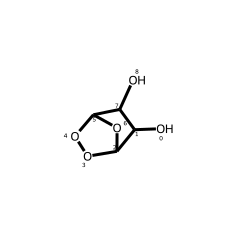 OC1C2OOC(O2)C1O